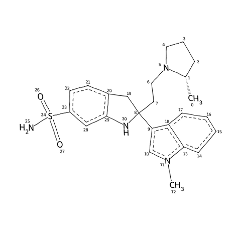 C[C@H]1CCCN1CCC1(c2cn(C)c3ccccc23)Cc2ccc(S(N)(=O)=O)cc2N1